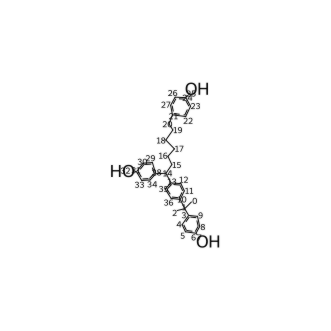 CC(C)(c1ccc(O)cc1)c1ccc(C(CCCCCCc2ccc(O)cc2)c2ccc(O)cc2)cc1